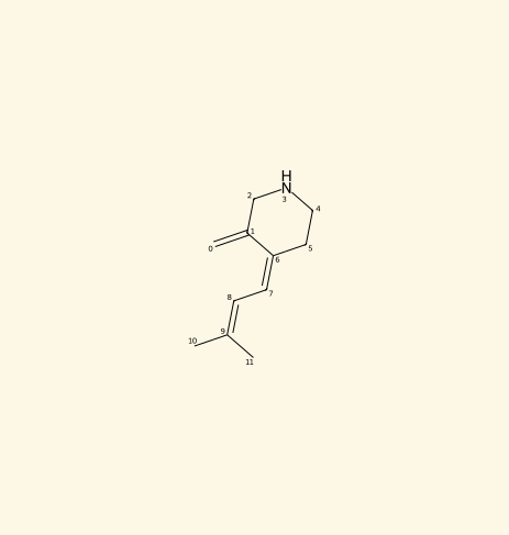 C=C1CNCC/C1=C/C=C(C)C